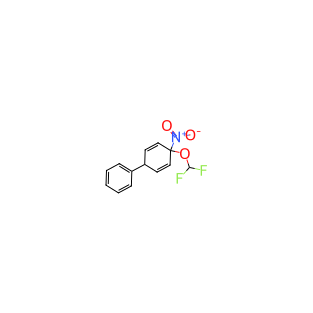 O=[N+]([O-])C1(OC(F)F)C=CC(c2ccccc2)C=C1